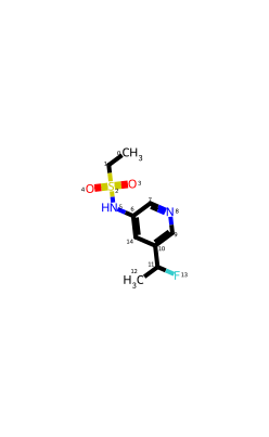 CCS(=O)(=O)Nc1cncc(C(C)F)c1